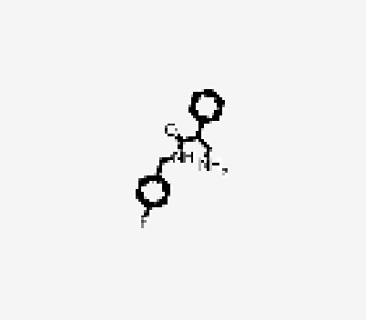 NCC(C(=O)NCc1ccc(F)cc1)c1ccccc1